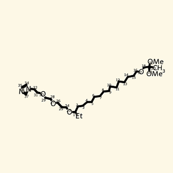 CCC(CCCCCCCCCCCCCCCOCC(C)(OC)OC)OCCCOCCOCCn1ccnc1